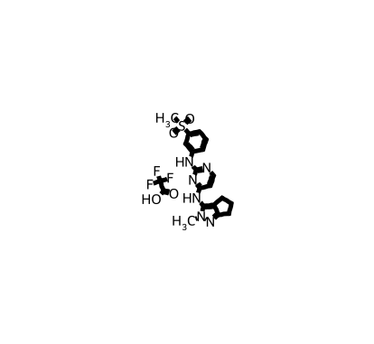 Cn1nc2c(c1Nc1ccnc(Nc3cccc(S(C)(=O)=O)c3)n1)CCC2.O=C(O)C(F)(F)F